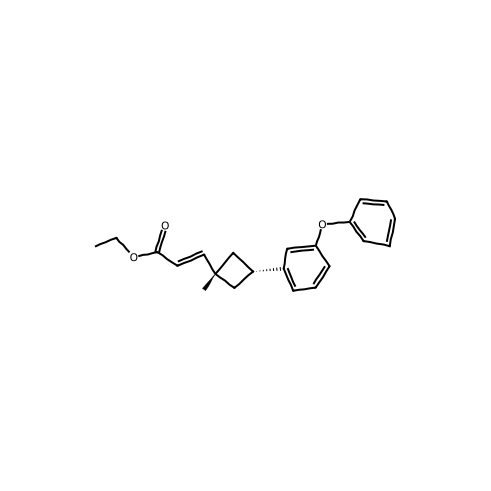 CCOC(=O)/C=C/[C@]1(C)C[C@H](c2cccc(Oc3ccccc3)c2)C1